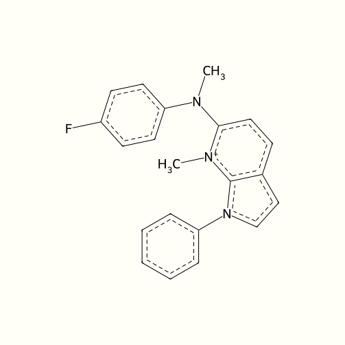 CN(c1ccc(F)cc1)c1ccc2ccn(-c3ccccc3)c2[n+]1C